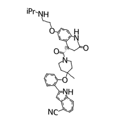 CC(C)NCCOc1ccc2c(c1)[C@@H](C(=O)N1CCC(C)(Oc3ccccc3-c3cc4c(C#N)cccc4[nH]3)CC1)CC(=O)N2